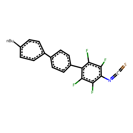 CCCCc1ccc(-c2ccc(-c3c(F)c(F)c(N=C=S)c(F)c3F)cc2)cc1